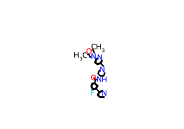 CC1CN(c2ccc(CN3CCC(NC(=O)c4ccc(F)c(-c5cccnc5)c4)CC3)cn2)CC(C)O1